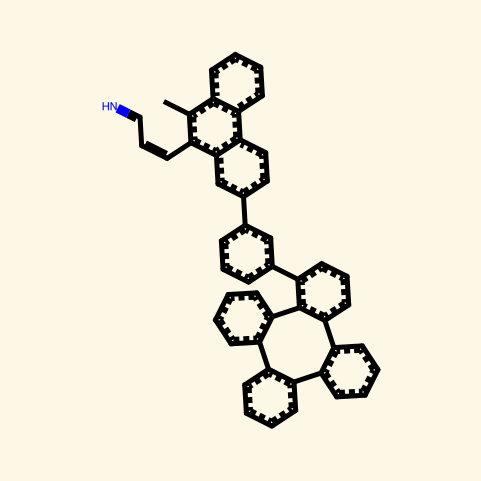 Cc1c(/C=C\C=N)c2cc(-c3cccc(-c4cccc5c4-c4ccccc4-c4ccccc4-c4ccccc4-5)c3)ccc2c2ccccc12